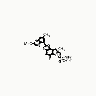 CCCOP(=O)(OCCC)OC[C@]1(C)Cc2c(c(F)cc3nc(-c4cc(C)cc5nc(OC)cnc45)sc23)O1